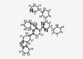 c1ccc(-c2cc(-c3cccc(-c4cccnc4)c3)nc(-c3ccc(-c4ccc5sc6ccccc6c5c4)c4c3oc3ccccc34)n2)cc1